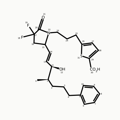 C[C@H](CCCc1ccccc1)[C@H](O)C=CC1CC(F)(F)C(=O)N1CCCc1ccc(C(=O)O)s1